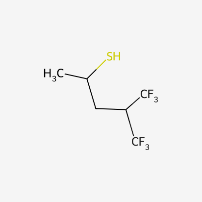 CC(S)CC(C(F)(F)F)C(F)(F)F